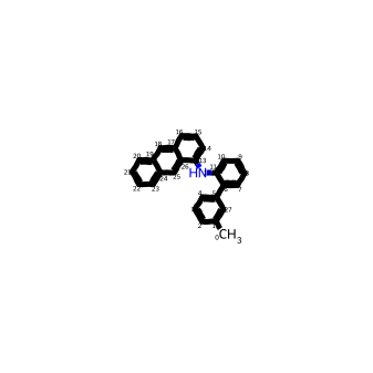 Cc1cccc(-c2ccccc2Nc2cccc3cc4ccccc4cc23)c1